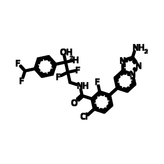 [2H]C(O)(c1ccc(C(F)F)cc1)C(F)(F)CNC(=O)c1c(Cl)ccc(-c2ccn3nc(N)nc3c2)c1F